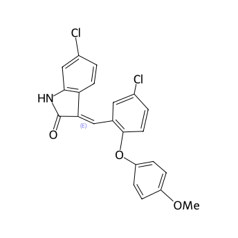 COc1ccc(Oc2ccc(Cl)cc2/C=C2/C(=O)Nc3cc(Cl)ccc32)cc1